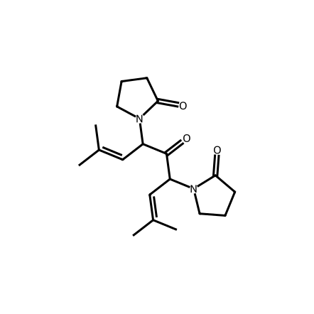 CC(C)=CC(C(=O)C(C=C(C)C)N1CCCC1=O)N1CCCC1=O